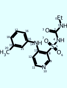 CCNC(=O)NS(=O)(=O)c1cnccc1Nc1cccc(C)c1